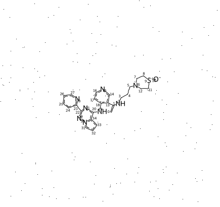 C=C(NCCCN1CC[S+]([O-])CC1)c1cnccc1Nc1nc(-c2ccccn2)nn2cccc12